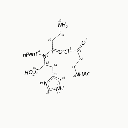 CC(=O)NCCC(=O)Cl.CCCCCN(C(=O)CCN)C(Cc1c[nH]cn1)C(=O)O